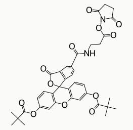 CC(C)(C)C(=O)Oc1ccc2c(c1)Oc1cc(OC(=O)C(C)(C)C)ccc1C21OC(=O)c2cc(C(=O)NCCC(=O)ON3C(=O)CCC3=O)ccc21